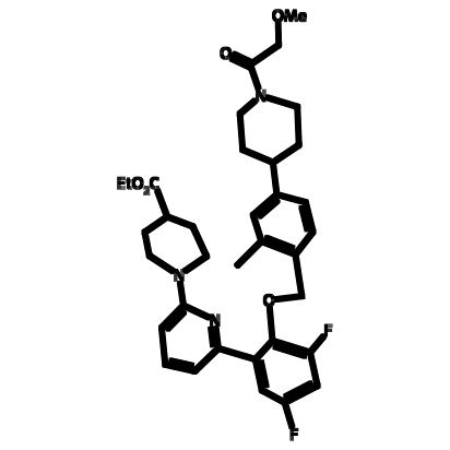 CCOC(=O)C1CCN(c2cccc(-c3cc(F)cc(F)c3OCc3ccc(C4CCN(C(=O)COC)CC4)cc3C)n2)CC1